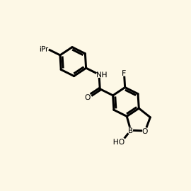 CC(C)c1ccc(NC(=O)c2cc3c(cc2F)COB3O)cc1